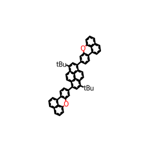 CC(C)(C)c1cc(-c2ccc3c(c2)Oc2cccc4cccc-3c24)c2ccc3c(C(C)(C)C)cc(-c4ccc5c(c4)Oc4cccc6cccc-5c46)c4ccc1c2c43